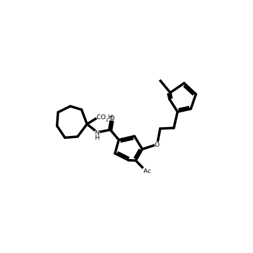 CC(=O)c1ccc(C(=O)NC2(C(=O)O)CCCCCC2)cc1OCCc1cccc(C)c1